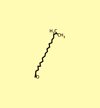 CC(C)CCCCCCCCCCCCCCCCCC1=CO1